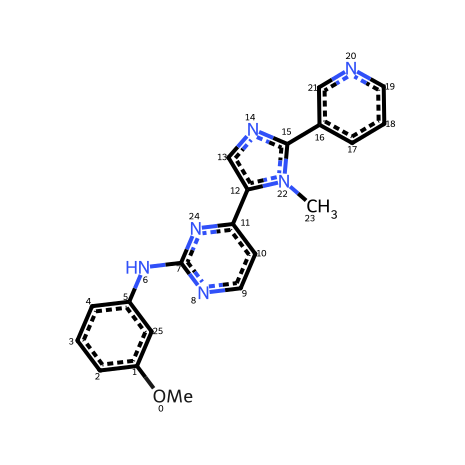 COc1cccc(Nc2nccc(-c3cnc(-c4cccnc4)n3C)n2)c1